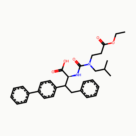 CCOC(=O)CCN(CC(C)C)C(=O)N[C@H](C(=O)O)C(Cc1ccccc1)c1ccc(-c2ccccc2)cc1